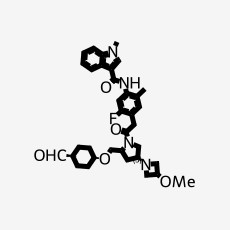 COC1CN([C@H]2CC(CO[C@H]3CC[C@H](C=O)CC3)N(C(=O)Cc3cc(C)c(NC(=O)c4cn(C)c5ccccc45)cc3F)C2)C1